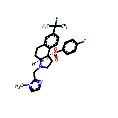 Cn1ccnc1CN1CC[C@]2(S(=O)(=O)c3ccc(F)cc3)c3ccc(C(F)(C(F)(F)F)C(F)(F)F)cc3CC[C@H]12